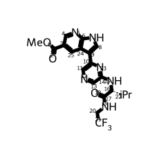 COC(=O)c1cnc2[nH]cc(-c3cncc(N[C@@H](C(=O)NCC(F)(F)F)C(C)C)n3)c2c1